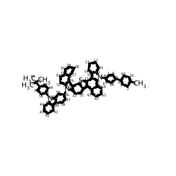 Cc1ccc(-c2ccc(-n3c4ccccc4c4c5sc6c(ccc7c6c6c8ccccc8ccc6n7-c6ccc7c8ccccc8n(-c8ccc(C(C)(C)C)cc8)c7c6)c5c5ccccc5c43)cc2)cc1